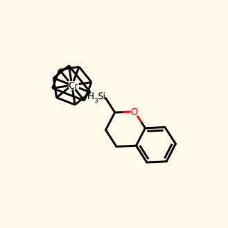 [CH]12[CH]3[CH]4[CH]5[CH]1[Cr]23451678[CH]2[CH]1[CH]6[CH]7[CH]28.[SiH3]C1CCc2ccccc2O1